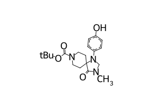 CN1CN(c2ccc(O)cc2)C2(CCN(C(=O)OC(C)(C)C)CC2)C1=O